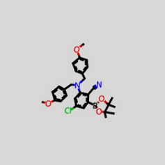 COc1ccc(CN(Cc2ccc(OC)cc2)c2cc(Cl)cc(B3OC(C)(C)C(C)(C)O3)c2C#N)cc1